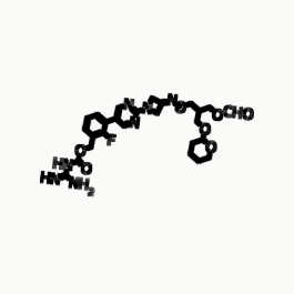 N=C(N)NC(=O)OCc1cccc(-c2cnc(N3CC(=NOCC(COC=O)COC4CCCCO4)C3)nc2)c1F